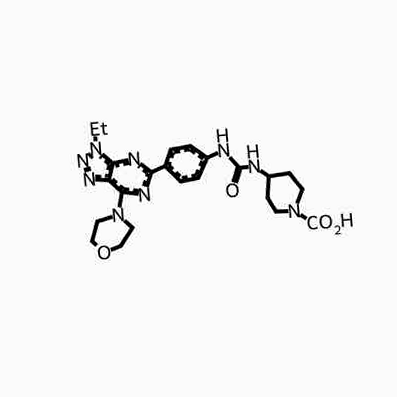 CCn1nnc2c(N3CCOCC3)nc(-c3ccc(NC(=O)NC4CCN(C(=O)O)CC4)cc3)nc21